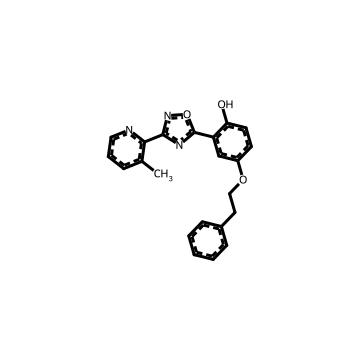 Cc1cccnc1-c1noc(-c2cc(OCCc3ccccc3)ccc2O)n1